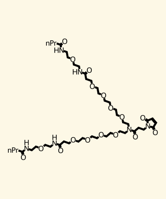 CCCC(=O)NCCOCCNC(=O)CCOCCOCCOCCOCCN(CCOCCOCCOCCOCCC(=O)NCCOCCNC(=O)CCC)C(=O)CCN1C(=O)C=CC1=O